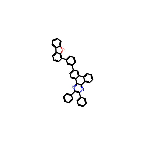 c1ccc(-c2nc3c4ccccc4c4cc(-c5cccc(-c6cccc7c6oc6ccccc67)c5)ccc4c3nc2-c2ccccc2)cc1